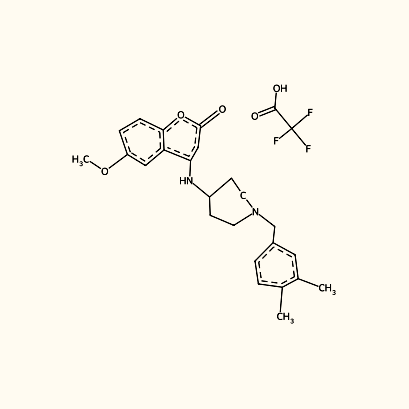 COc1ccc2oc(=O)cc(NC3CCN(Cc4ccc(C)c(C)c4)CC3)c2c1.O=C(O)C(F)(F)F